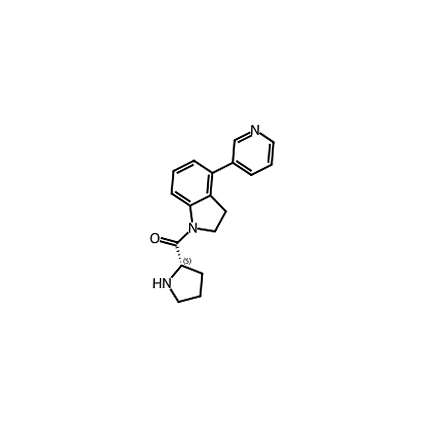 O=C([C@@H]1CCCN1)N1CCc2c(-c3cccnc3)cccc21